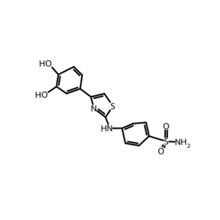 NS(=O)(=O)c1ccc(Nc2nc(-c3ccc(O)c(O)c3)cs2)cc1